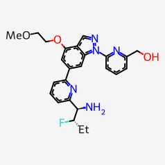 CC[C@H](F)[C@H](N)c1cccc(-c2cc(OCCOC)c3cnn(-c4cccc(CO)n4)c3c2)n1